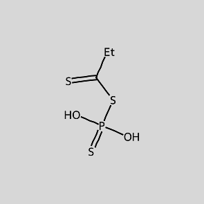 CCC(=S)SP(O)(O)=S